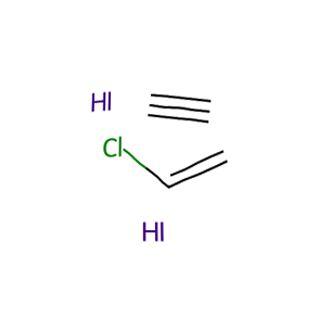 C#C.C=CCl.I.I